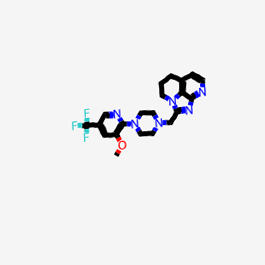 COc1cc(C(F)(F)F)cnc1N1CCN(Cc2nc3nccc4c3n2CCC4)CC1